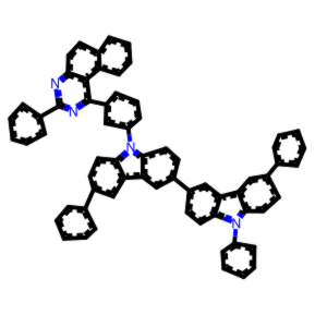 c1ccc(-c2ccc3c(c2)c2cc(-c4ccc5c(c4)c4cc(-c6ccccc6)ccc4n5-c4cccc(-c5nc(-c6ccccc6)nc6ccc7ccccc7c56)c4)ccc2n3-c2ccccc2)cc1